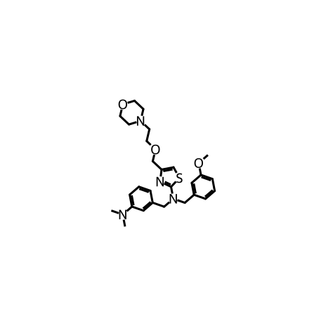 COc1cccc(CN(Cc2cccc(N(C)C)c2)c2nc(COCCN3CCOCC3)cs2)c1